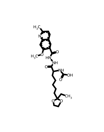 CCC1(CCCCCC(NC(=O)O)C(=O)NNC(=O)c2cc3ccc(C)nc3cc2OC)OCCO1